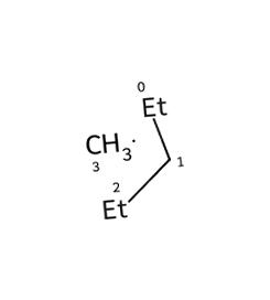 CCCCC.[CH3]